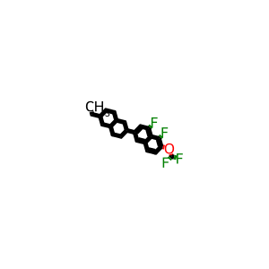 CCC1CCC2CC(c3cc(F)c4c(F)c(OC(F)F)ccc4c3)CCC2C1